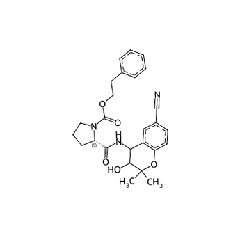 CC1(C)Oc2ccc(C#N)cc2C(NC(=O)[C@@H]2CCCN2C(=O)OCCc2ccccc2)C1O